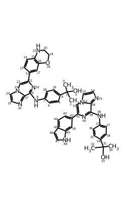 CC(C)(O)c1ccc(Nc2nc(-c3ccc4c(c3)OCCN4)cn3ccnc23)cc1.CC(C)(O)c1ccc(Nc2nc(-c3ccc4cc[nH]c4c3)cn3ccnc23)cc1